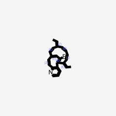 C\C=C1\C=C/C=C\C(=C/C)C2=C(CC)/C=C(/C=C\1)\C=C/c1ncccc1/2